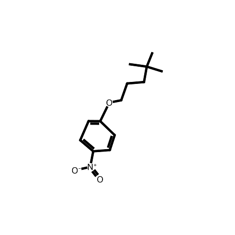 CC(C)(C)CCCOc1ccc([N+](=O)[O-])cc1